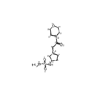 BS(=O)(=O)NC1CCN(CC(=O)N2CCOCC2)C1